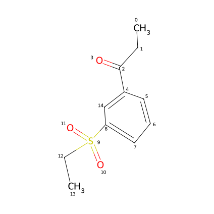 CCC(=O)c1cccc(S(=O)(=O)CC)c1